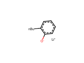 CCCCc1ccccc1[O-].[Li+]